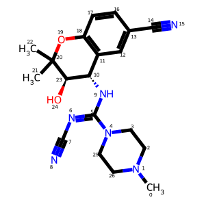 CN1CCN(/C(=N\C#N)N[C@H]2c3cc(C#N)ccc3OC(C)(C)[C@@H]2O)CC1